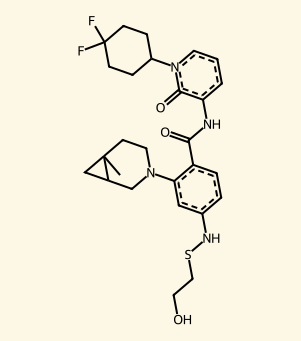 CC12CCN(c3cc(NSCCO)ccc3C(=O)Nc3cccn(C4CCC(F)(F)CC4)c3=O)CC1C2